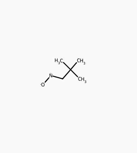 CC(C)(C)C[N][O]